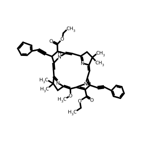 CCOC(=O)c1c(C#Cc2ccccc2)c2cc3nc(cc4[nH]c(cc5nc(c(OC)c1[nH]2)CC5(C)C)C(C#Cc1ccccc1)C4C(=O)OCC)CC3(C)C